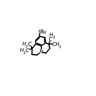 CC(C)(C)c1cc2c3c(c1)C(C)(C)CCN3CCC2(C)C